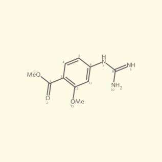 COC(=O)c1ccc(NC(=N)N)cc1OC